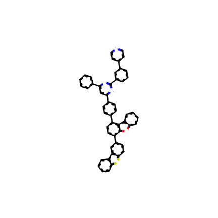 c1ccc(-c2cc(-c3ccc(-c4ccc(-c5ccc6sc7ccccc7c6c5)c5oc6ccccc6c45)cc3)nc(-c3cccc(-c4ccncc4)c3)n2)cc1